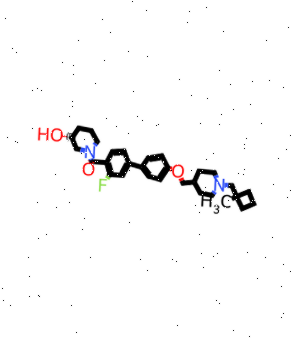 CC1(CN2CCC(COc3ccc(-c4ccc(C(=O)N5CCC[C@@H](O)C5)c(F)c4)cc3)CC2)CCC1